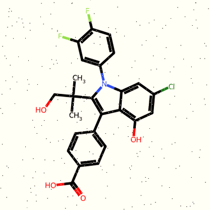 CC(C)(CO)c1c(-c2ccc(C(=O)O)cc2)c2c(O)cc(Cl)cc2n1-c1ccc(F)c(F)c1